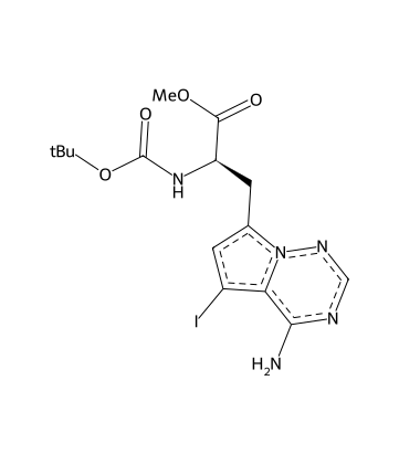 COC(=O)[C@@H](Cc1cc(I)c2c(N)ncnn12)NC(=O)OC(C)(C)C